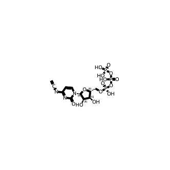 C=C=Nc1ccn([C@@H]2O[C@H](COP(=O)(O)OP(=O)(O)OP(=O)(O)O)[C@@H](O)[C@H]2O)c(=O)n1